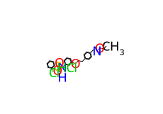 CCON=Cc1ccc(CCOc2cccc(NS(=O)(=O)c3ccccc3Cl)c2)cc1.Cl